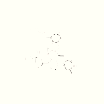 COCCCc1cc(Br)cc(CN(C(=O)[C@H]2CN(C(=O)OC(C)(C)C)CC[C@@H]2c2cc(C)[nH]c(=O)c2)C2CC2)c1